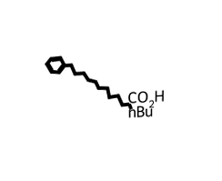 CCCCC(CCCCCCCCCCc1ccccc1)C(=O)O